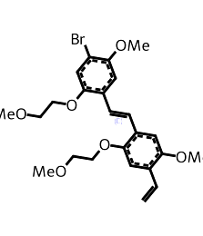 C=Cc1cc(OCCOC)c(/C=C/c2cc(OC)c(Br)cc2OCCOC)cc1OC